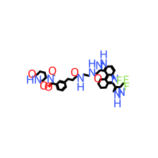 O=CN(C(=O)c1cccc(CCC(=O)NCCNC(=O)c2n[nH]c3ccc4nc(-c5c[nH]nc5C(F)(F)F)c5c(c4c23)CCCC5)c1)C1CCC(=O)NC1=O